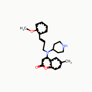 COc1ccccc1C=CCN(c1cc(=O)oc2ccc(C)cc12)C1CCNCC1